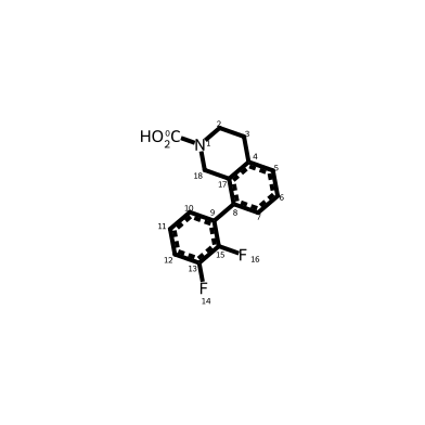 O=C(O)N1CCc2cccc(-c3cccc(F)c3F)c2C1